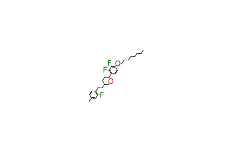 CCCCCCCCOc1ccc(C2CCC(CCc3ccc(C)cc3F)CO2)c(F)c1F